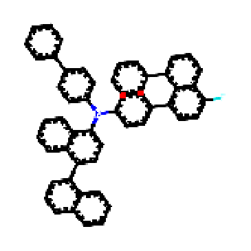 Fc1ccc(-c2ccc(N(c3ccc(-c4ccccc4)cc3)c3ccc(-c4cccc5ccccc45)c4ccccc34)cc2)c2c(-c3ccccc3)cccc12